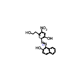 O=[N+]([O-])c1cc(O)c(/N=N/c2c(O)ccc3ccccc23)cc1CCO